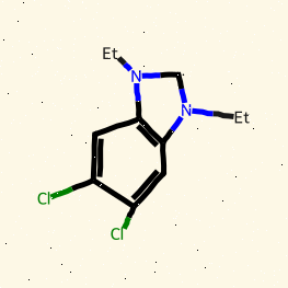 CCN1[CH]N(CC)c2cc(Cl)c(Cl)cc21